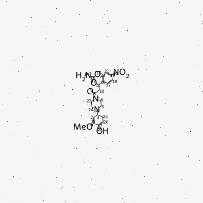 COC1=CC(N2CCN(C(=O)CC(OC(N)=O)c3ccc([N+](=O)[O-])cc3)CC2)CC=C1O